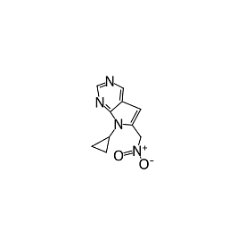 O=[N+]([O-])Cc1cc2cncnc2n1C1CC1